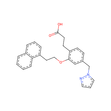 O=C(O)CCc1ccc(Cn2cccn2)cc1OCCc1cccc2ccccc12